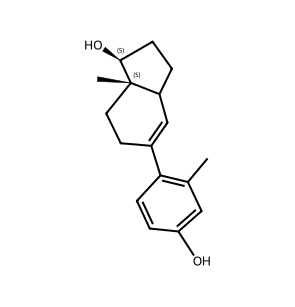 Cc1cc(O)ccc1C1=CC2CC[C@H](O)[C@@]2(C)CC1